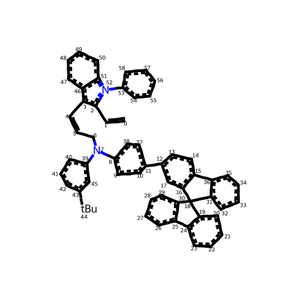 C=Cc1c(/C=C\CN(c2ccc(-c3ccc4c(c3)C3(c5ccccc5-c5ccccc53)c3ccccc3-4)cc2)c2cccc(C(C)(C)C)c2)c2ccccc2n1-c1ccccc1